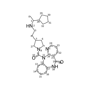 CC(NCCC1CCN(C(=O)N2c3ccccc3NC(=O)c3cccnc32)C1)C1CCCC1